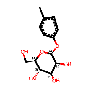 Cc1ccc(O[C@@H]2O[C@H](CO)[C@@H](O)[C@H](O)[C@@H]2O)cc1